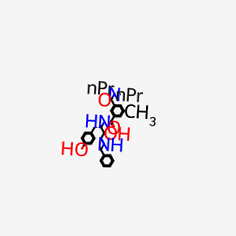 CCCN(CCC)C(=O)c1cc(C)cc(C(=O)N[C@@H](Cc2ccc(O)cc2)[C@H](O)CNCc2ccccc2)c1